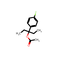 CCC(CC)(OC(C)=O)c1ccc(F)cc1